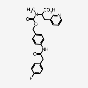 CN(C(=O)OCc1ccc(NC(=O)Cc2ccc(F)cc2)cc1)C(Cc1cccnc1)C(=O)O